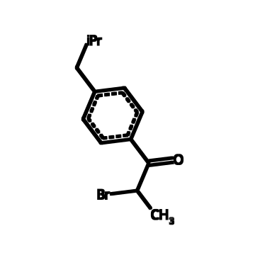 CC(C)Cc1ccc(C(=O)C(C)Br)cc1